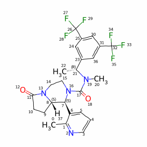 Cc1ncccc1[C@H]1[C@@H]2CCC(=O)N2CCN1C(=O)N(C)[C@H](C)c1cc(C(F)(F)F)cc(C(F)(F)F)c1